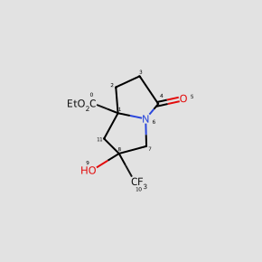 CCOC(=O)C12CCC(=O)N1CC(O)(C(F)(F)F)C2